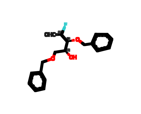 O=C[C@@H](F)[C@H](OCc1ccccc1)[C@H](O)COCc1ccccc1